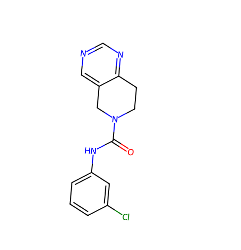 O=C(Nc1cccc(Cl)c1)N1CCc2ncncc2C1